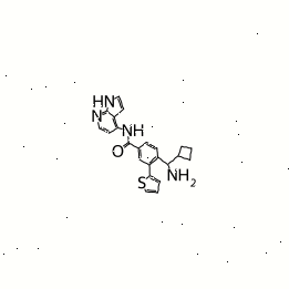 NC(c1ccc(C(=O)Nc2ccnc3[nH]ccc23)cc1-c1cccs1)C1CCC1